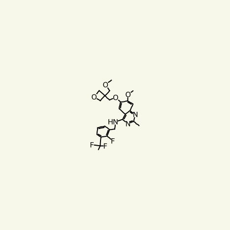 COCC1(COc2cc3c(NCc4cccc(C(C)(F)F)c4F)nc(C)nc3cc2OC)COC1